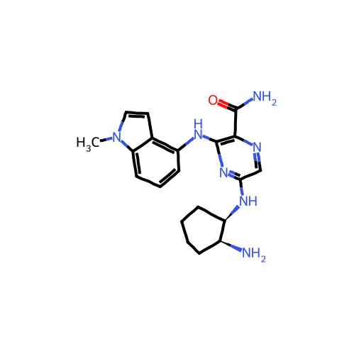 Cn1ccc2c(Nc3nc(N[C@@H]4CCCC[C@@H]4N)cnc3C(N)=O)cccc21